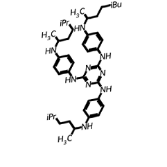 CCC(C)CCC(C)Nc1ccc(Nc2nc(Nc3ccc(NC(C)CCC(C)C)cc3)nc(Nc3ccc(NC(C)CCC(C)C)cc3)n2)cc1